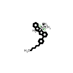 CCCCCCc1ccc(-c2cccc3c2C=C(C)[CH]3[Zr]([Cl])([Cl])([CH]2C=Cc3ccccc32)[SiH](C)C)cc1